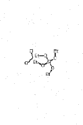 CCO[Si](OCC)(OCC)OCC.ClCCl